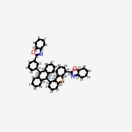 c1cc(-c2nc3ccccc3o2)cc(-c2c3ccccc3c(-c3cccc4sc5c(-c6nc7ccccc7o6)cccc5c34)c3ccccc23)c1